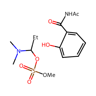 CC(=O)NC(=O)c1ccccc1O.CCC(OS(=O)(=O)OC)N(C)C